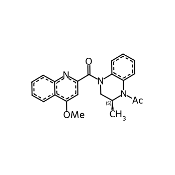 COc1cc(C(=O)N2C[C@H](C)N(C(C)=O)c3ccccc32)nc2ccccc12